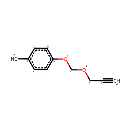 C#CCOCOc1ccc(C#N)cc1